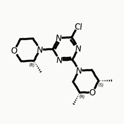 C[C@@H]1CN(c2nc(Cl)nc(N3CCOC[C@H]3C)n2)C[C@H](C)O1